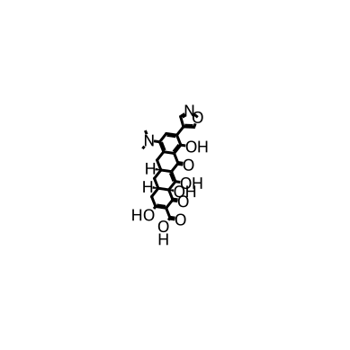 CN(C)c1cc(-c2cnoc2)c(O)c2c1C[C@H]1C[C@H]3CC(O)=C(C(=O)O)C(=O)[C@@]3(O)C(O)=C1C2=O